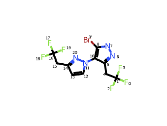 FC(F)(F)CC1=N[N]C(Br)=C1n1ccc(CC(F)(F)F)n1